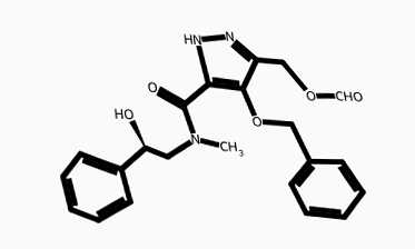 CN(C[C@H](O)c1ccccc1)C(=O)c1[nH]nc(COC=O)c1OCc1ccccc1